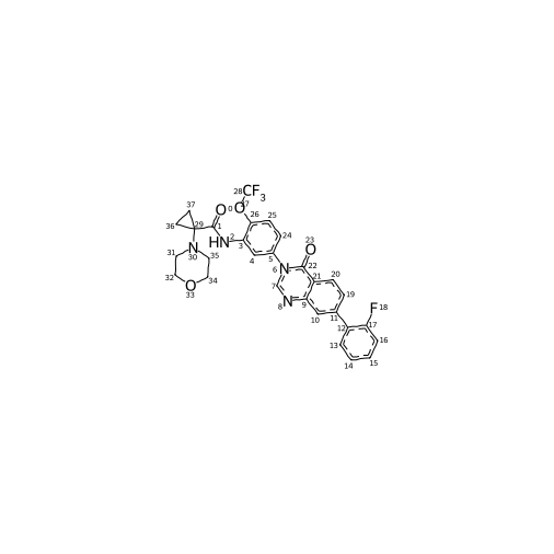 O=C(Nc1cc(-n2cnc3cc(-c4ccccc4F)ccc3c2=O)ccc1OC(F)(F)F)C1(N2CCOCC2)CC1